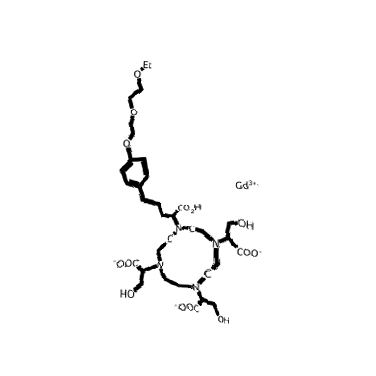 CCOCCOCCOc1ccc(CCCC(C(=O)O)N2CCN(C(CO)C(=O)[O-])CCN(C(CO)C(=O)[O-])CCN(C(CO)C(=O)[O-])CC2)cc1.[Gd+3]